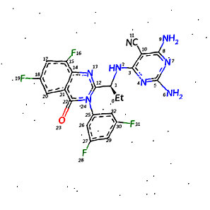 CC[C@H](Nc1nc(N)nc(N)c1C#N)c1nc2c(F)cc(F)cc2c(=O)n1-c1cc(F)cc(F)c1